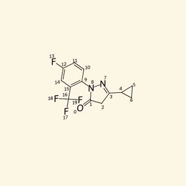 O=C1CC(C2CC2)=NN1c1ccc(F)cc1C(F)(F)F